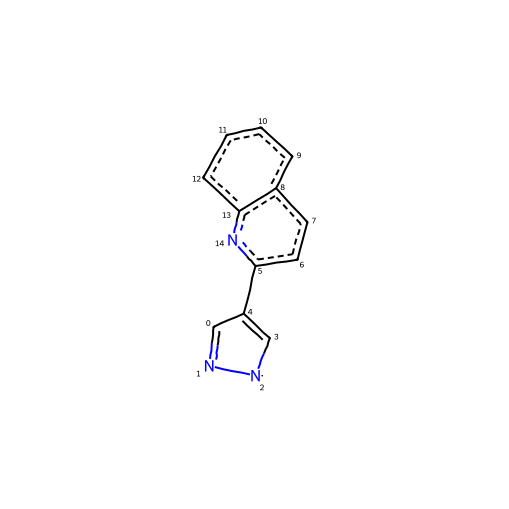 C1=N[N]C=C1c1ccc2ccccc2n1